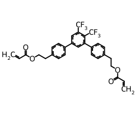 C=CC(=O)OCCc1ccc(-c2cc(-c3ccc(CCOC(=O)C=C)cc3)c(C(F)(F)F)c(C(F)(F)F)c2)cc1